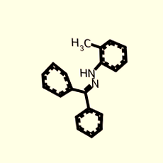 Cc1ccccc1NN=C(c1ccccc1)c1ccccc1